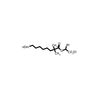 CCCCCCCCCCCCCCCCC(C)(C)C(=O)OC(C(=O)OCC)C(C)C